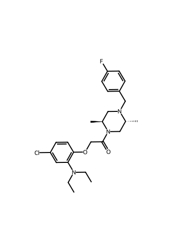 CCN(CC)c1cc(Cl)ccc1OCC(=O)N1C[C@@H](C)N(Cc2ccc(F)cc2)C[C@@H]1C